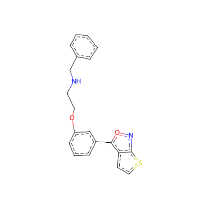 c1ccc(CNCCOc2cccc(-c3onc4sccc34)c2)cc1